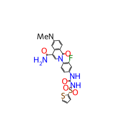 CNc1ccc2c(=O)n(-c3ccc(NC(=O)NS(=O)(=O)c4cccs4)cc3F)cc(C(N)=O)c2c1